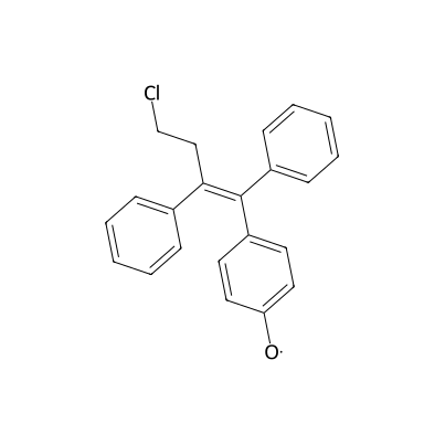 [O]c1ccc(C(=C(CCCl)c2ccccc2)c2ccccc2)cc1